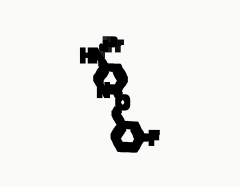 CC(C)Nc1ccc(OCc2cccc(F)c2)nc1